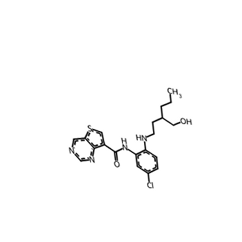 CCCC(CO)CCNc1ccc(Cl)cc1NC(=O)c1csc2cncnc12